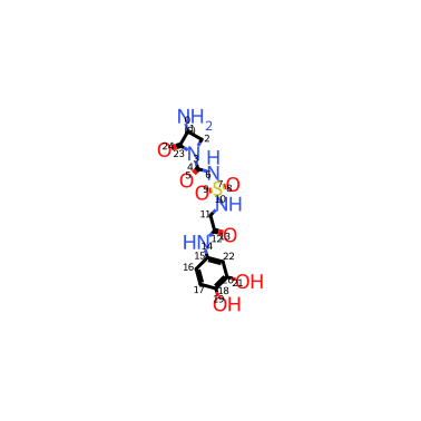 N[C@H]1CN(C(=O)NS(=O)(=O)NCC(=O)Nc2ccc(O)c(O)c2)C1=O